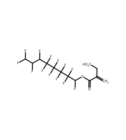 C=C(CC(=O)O)C(=O)OC(F)C(F)(F)C(F)(F)C(F)(F)C(F)(F)C(F)C(F)C(F)F